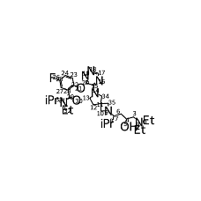 CCN(CC)CC(O)CC(C(C)C)N1CC2(CCN(c3ncnnc3Oc3ccc(F)cc3C(=O)N(CC)C(C)C)C2)C1